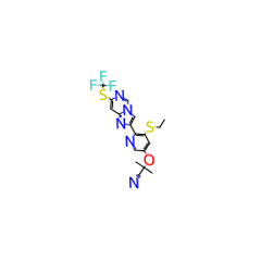 CCSc1cc(OC(C)(C)C#N)cnc1-c1cn2cnc(SC(F)(F)F)cc2n1